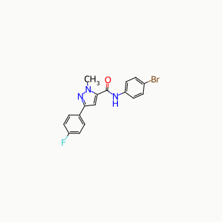 Cn1nc(-c2ccc(F)cc2)cc1C(=O)Nc1ccc(Br)cc1